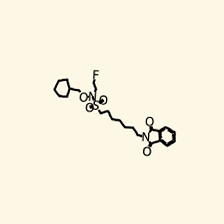 O=C1c2ccccc2C(=O)N1CCCCCCCS(=O)(=O)N(CCF)OCC1CCCCC1